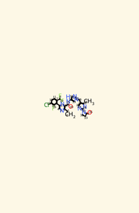 C=Cc1ncc(-c2c(C(F)F)ccc(Cl)c2F)nc1C(=O)Nc1cnn(Cc2cnc(N3CCC3=O)nc2C)c1